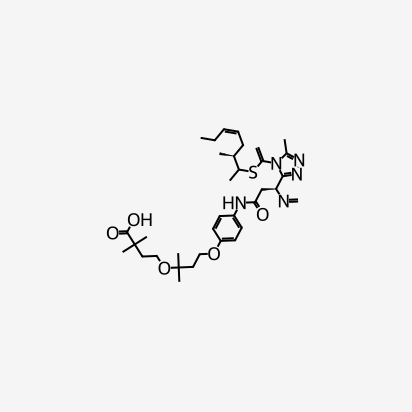 C=N[C@@H](CC(=O)Nc1ccc(OCCC(C)(C)OCCC(C)(C)C(=O)O)cc1)c1nnc(C)n1C(=C)SC(C)[C@@H](C)C/C=C\CC